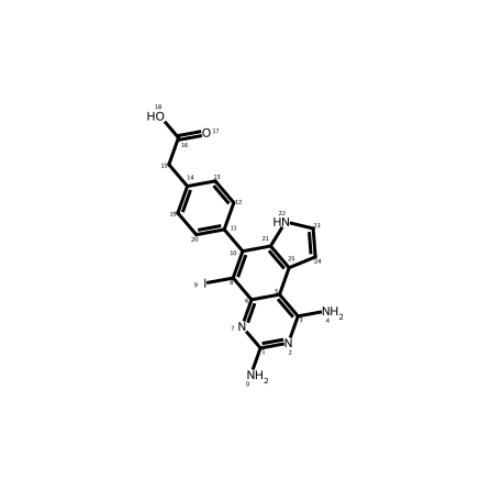 Nc1nc(N)c2c(n1)c(I)c(-c1ccc(CC(=O)O)cc1)c1[nH]ccc12